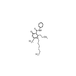 CCCCCCn1c(C)cc(=O)c(C(=O)Nc2ccccc2)c1CCC